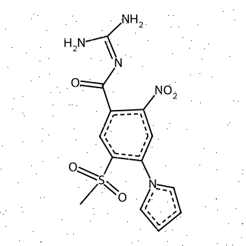 CS(=O)(=O)c1cc(C(=O)N=C(N)N)c([N+](=O)[O-])cc1-n1cccc1